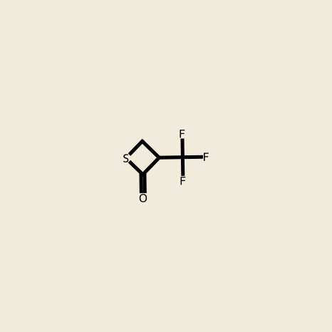 O=C1SCC1C(F)(F)F